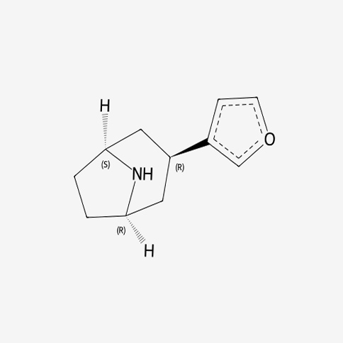 c1cc([C@H]2C[C@H]3CC[C@@H](C2)N3)co1